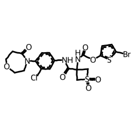 O=C(NC1(C(=O)Nc2ccc(N3CCOCCC3=O)c(Cl)c2)CS(=O)(=O)C1)Oc1ccc(Br)s1